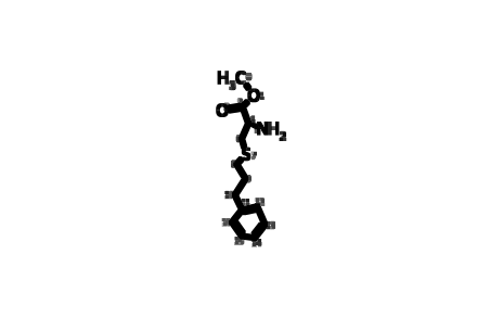 COC(=O)[C@@H](N)CSCCCc1ccccc1